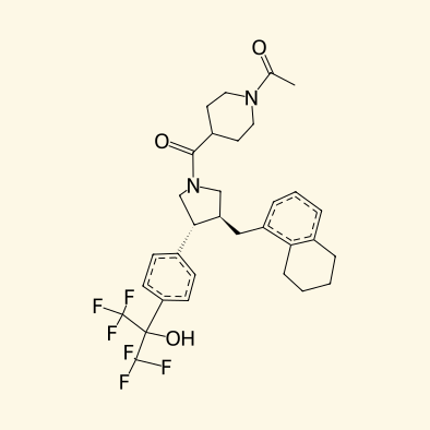 CC(=O)N1CCC(C(=O)N2C[C@@H](Cc3cccc4c3CCCC4)[C@H](c3ccc(C(O)(C(F)(F)F)C(F)(F)F)cc3)C2)CC1